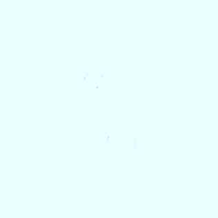 C=C(CO)CCOCc1ccccc1